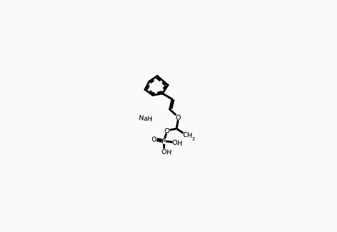 CC(OC=Cc1ccccc1)OP(=O)(O)O.[NaH]